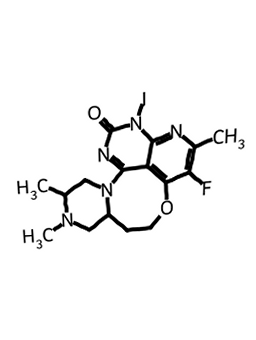 Cc1nc2c3c(nc(=O)n2I)N2CC(C)N(C)CC2CCOc3c1F